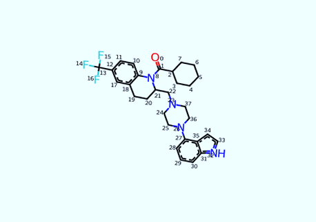 O=C(C1CCCCC1)N1c2ccc(C(F)(F)F)cc2CCC1CN1CCN(c2cccc3[nH]ccc23)CC1